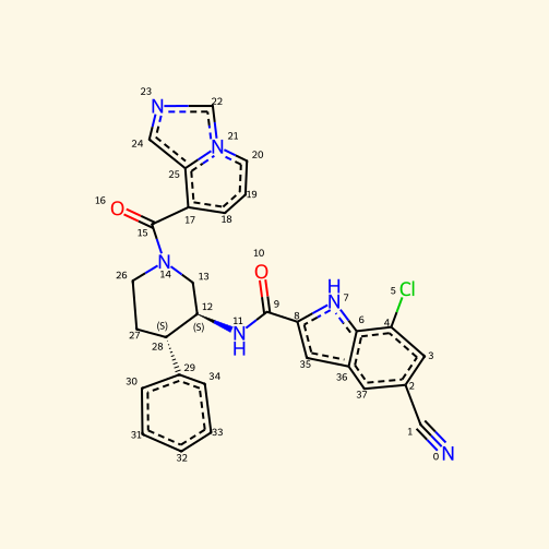 N#Cc1cc(Cl)c2[nH]c(C(=O)N[C@@H]3CN(C(=O)c4cccn5cncc45)CC[C@H]3c3ccccc3)cc2c1